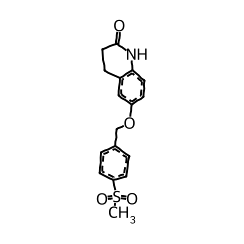 CS(=O)(=O)c1ccc(COc2ccc3c(c2)CCC(=O)N3)cc1